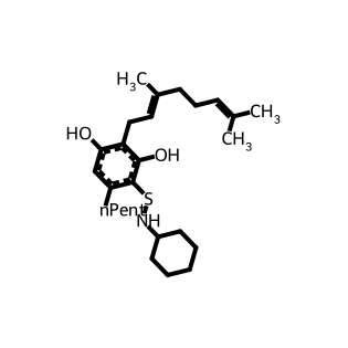 CCCCCc1cc(O)c(C/C=C(\C)CCC=C(C)C)c(O)c1SNC1CCCCC1